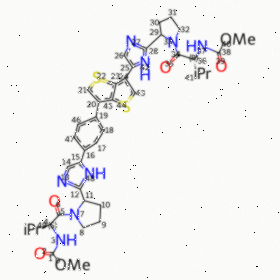 COC(=O)N[C@H](C(=O)N1CCCC1c1ncc(-c2ccc(-c3csc4c(-c5cnc(C6CCCN6C(=O)[C@H](NC(=O)OC)C(C)C)[nH]5)csc34)cc2)[nH]1)C(C)C